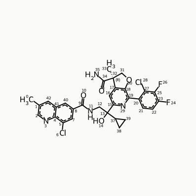 Cc1cnc2c(Cl)cc(C(=O)NCC(O)(c3cc4c(c(-c5ccc(F)c(F)c5Cl)n3)OC[C@]4(C)C(N)=O)C3CC3)cc2c1